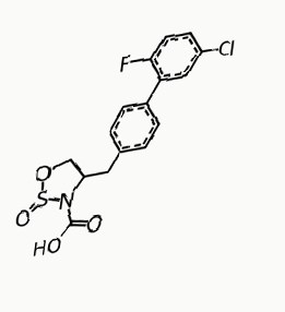 O=C(O)N1C(Cc2ccc(-c3cc(Cl)ccc3F)cc2)COS1=O